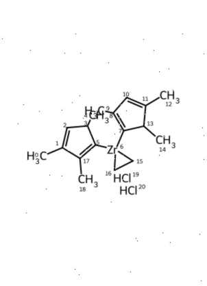 CC1=CC(C)[C]([Zr]2([C]3=C(C)C=C(C)C3C)[CH2][CH2]2)=C1C.Cl.Cl